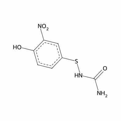 NC(=O)NSc1ccc(O)c([N+](=O)[O-])c1